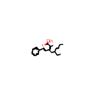 CCCCC(CC)CC(C=Cc1ccccc1)=C(C)C(=O)O